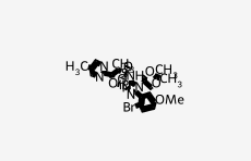 COc1ccc(Br)c(-c2nnc(NS(=O)(=O)C(C)C(OC(C)C)c3ncc(C)cn3)n2C2COC(C)(C)OC2)c1